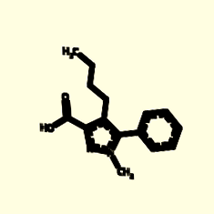 CCCCc1c(C(=O)O)nn(C)c1-c1ccccc1